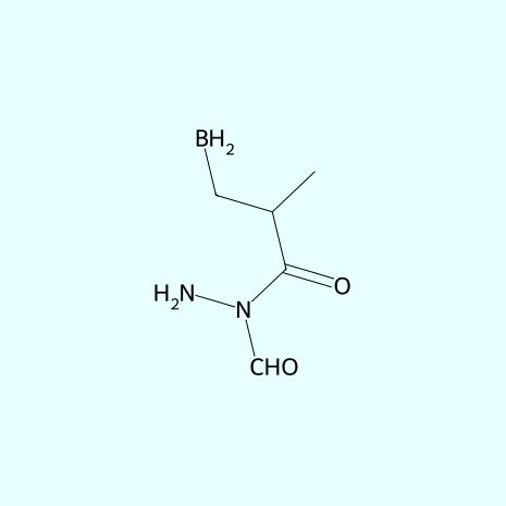 BCC(C)C(=O)N(N)C=O